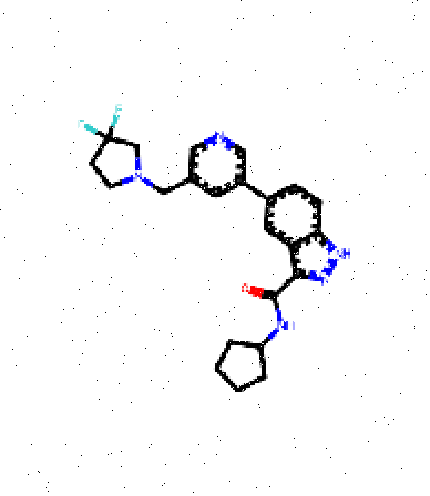 O=C(NC1CCCC1)c1n[nH]c2ccc(-c3cncc(CN4CCC(F)(F)C4)c3)cc12